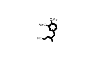 COc1ccc(CC(C)=CCC#N)cc1OC